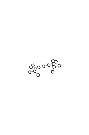 c1ccc(-c2cc(-c3ccccc3)cc(N(c3ccc(-c4ccc(-c5ccc(N(c6cc(-c7ccccc7)cc(-c7ccccc7)c6)c6cccc7ccccc67)cc5)cc4)cc3)c3cccc4ccccc34)c2)cc1